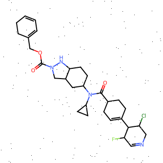 O=C(OCC1=CC=CCC1)N1CC2CC(N(C(=O)C3CC=C(C4C(F)C=NCC4Cl)CC3)C3CC3)CCC2N1